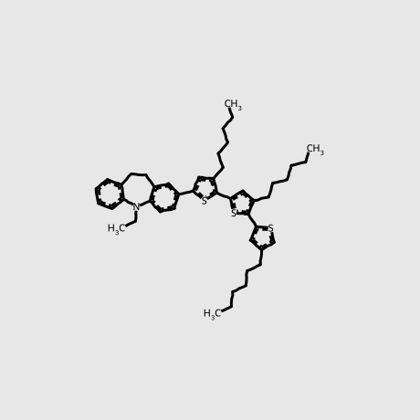 CCCCCCc1csc(-c2sc(-c3sc(-c4ccc5c(c4)CCc4ccccc4N5CC)cc3CCCCCC)cc2CCCCCC)c1